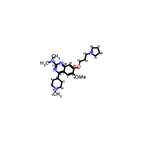 COc1cc2c(C3CCN(C)CC3)nc(N(C)C)nc2cc1OCCCN1CCCC1